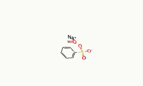 C=O.O=S(=O)([O-])c1ccccc1.[Na+]